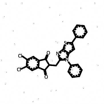 O=C1c2cc(Cl)c(Cl)cc2C(=O)C1Cc1nc2sc(-c3ccccc3)cc2n1-c1ccccc1